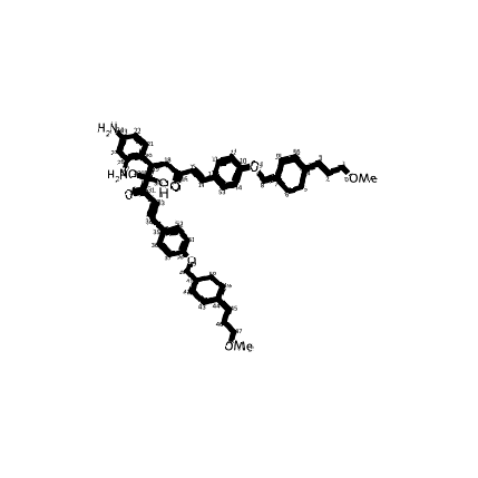 COCCCC1CCC(COc2ccc(C=CC(=O)CC(c3ccc(N)cc3N)C(O)(O)C(=O)C=Cc3ccc(OCC4CCC(CCCOC)CC4)cc3)cc2)CC1